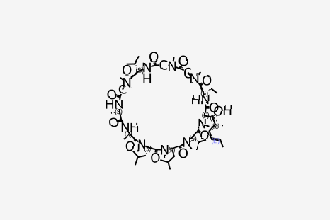 C/C=C/C[C@@H](C)[C@@H](O)[C@H]1C(=O)N[C@@H](CC)C(=O)N(C)CC(=O)N(C)CC(=O)N[C@@H](C(C)C)C(=O)N(C)CC(=O)N[C@@H](C)C(=O)N[C@H](C)C(=O)N(C)[C@@H](CC(C)C)C(=O)N(C)[C@H](CC(C)C)C(=O)N(C)[C@@H](C(C)C)C(=O)N1C